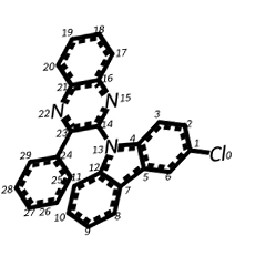 Clc1ccc2c(c1)c1ccccc1n2-c1nc2ccccc2nc1-c1ccccc1